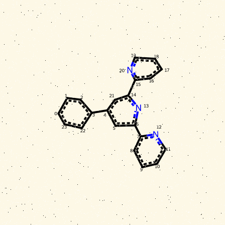 c1ccc(-c2cc(-c3ccccn3)nc(-c3ccccn3)c2)cc1